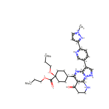 COCCOC(=O)[C@]1(OCCOC)CC[C@@H](c2nc3c(-c4ccc(-c5ccn(C)n5)nc4)cnn3c3c2C(=O)CCN3)CC1